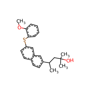 COc1ccccc1Sc1ccc2ccc(C(C)CC(C)(C)O)cc2c1